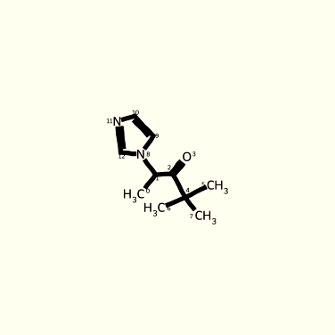 CC(C(=O)C(C)(C)C)n1ccnc1